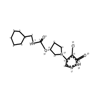 O=C(NCC1CCCCC1)O[C@@H]1CCN(c2cn[nH]c(=O)c2Cl)C1